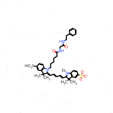 CC[N+]1=C(/C=C/C=C/C=C2\N(CCCCCC(=O)NCC(=O)NCCc3ccccc3)c3ccc(S(=O)(=O)O)cc3C2(C)C)C(C)(C)c2cc(S(=O)(=O)[O-])ccc21